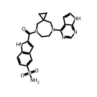 NS(=O)(=O)c1ccc2[nH]c(C(=O)N3CCN(c4ncnc5[nH]ccc45)CC4(CC4)C3)cc2c1